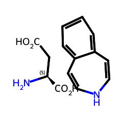 C1=Cc2ccccc2C=CN1.N[C@@H](CC(=O)O)C(=O)O